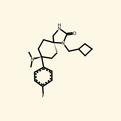 CN(C)[C@]1(c2ccc(F)cc2)CC[C@]2(CC1)CNC(=O)N2CC1CCC1